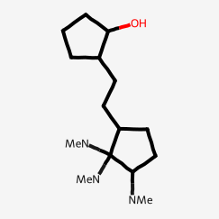 CNC1CCC(CCC2CCCC2O)C1(NC)NC